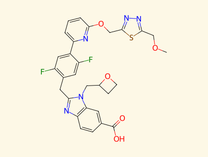 COCc1nnc(COc2cccc(-c3cc(F)c(Cc4nc5ccc(C(=O)O)cc5n4CC4CCO4)cc3F)n2)s1